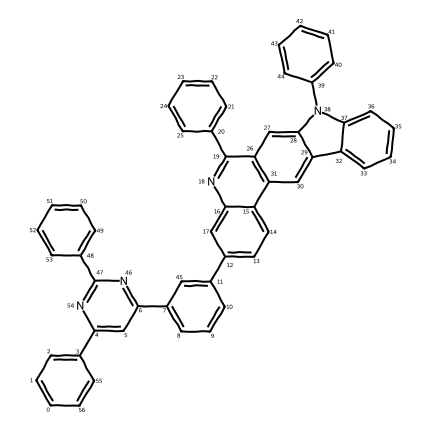 c1ccc(-c2cc(-c3cccc(-c4ccc5c(c4)nc(-c4ccccc4)c4cc6c(cc45)c4ccccc4n6-c4ccccc4)c3)nc(-c3ccccc3)n2)cc1